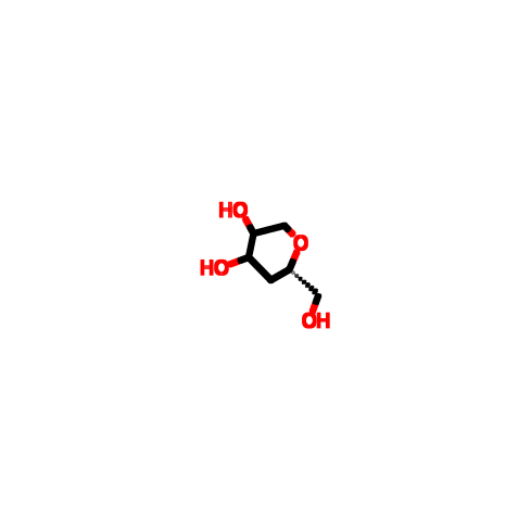 OC[C@@H]1CC(O)C(O)CO1